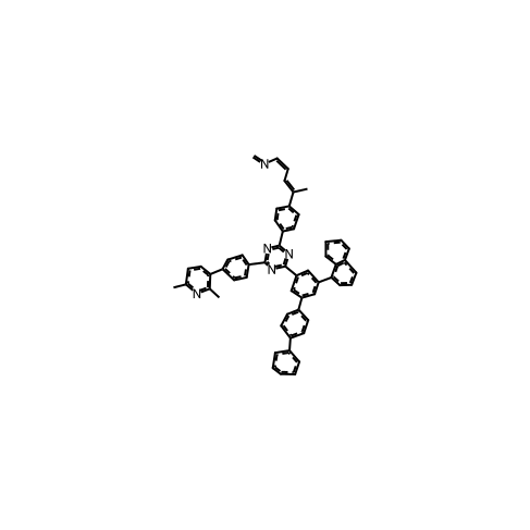 C=N/C=C\C=C(/C)c1ccc(-c2nc(-c3ccc(-c4ccc(C)nc4C)cc3)nc(-c3cc(-c4ccc(-c5ccccc5)cc4)cc(-c4cccc5ccccc45)c3)n2)cc1